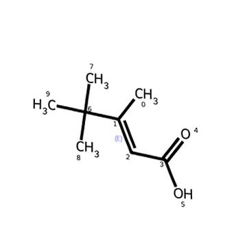 C/C(=C\C(=O)O)C(C)(C)C